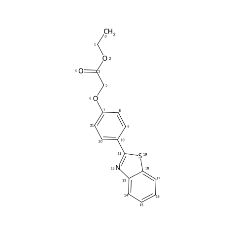 CCOC(=O)COc1ccc(-c2nc3ccccc3s2)cc1